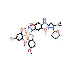 COc1ccc(CN(c2noc3cc(Nc4cc(C5CC5)n(C5CCCCO5)n4)c(OC)cc23)S(=O)(=O)c2c(OC)cc(Br)cc2OC)cc1